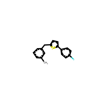 Cc1cccc(Cc2ccc(-c3ccc(F)cc3)s2)c1